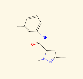 Cc1cccc(NC(=O)c2cc(C)nn2C)c1